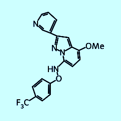 COc1ccc(NOc2ccc(C(F)(F)F)cc2)n2nc(-c3cccnc3)cc12